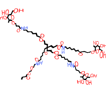 CCC(=O)COCCOCCNC(=O)CCCCC(=O)CC(CCCOC(=O)CCCCCCCNC(=O)CCCOC1OC(CO)C(O)C(O)C1C)(CCCOC(=O)CCCCCCCNC(=O)CCCOC1OC(CO)C(O)C(O)C1C)CCCOC(=O)NCCCCCCCC(=O)CCCOC1OC(CO)C(O)C(O)C1C